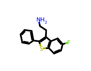 NCCc1c(-c2ccccc2)sc2ccc(F)cc12